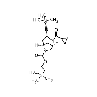 C[Si](C)(C)C#CC1C[C@H]2C[C@H](CN2C(=O)OCC[Si](C)(C)C)N1C(=O)C1CC1